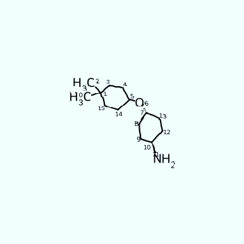 CC1(C)CCC(O[C@H]2CC[C@H](N)CC2)CC1